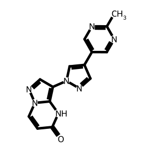 Cc1ncc(-c2cnn(-c3cnn4ccc(=O)[nH]c34)c2)cn1